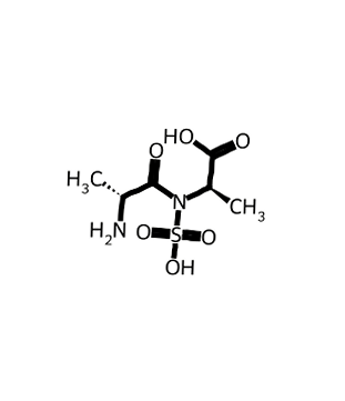 C[C@H](C(=O)O)N(C(=O)[C@@H](C)N)S(=O)(=O)O